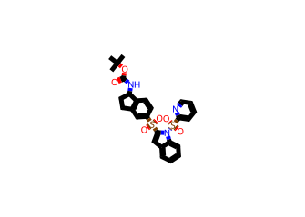 CC(C)(C)OC(=O)NC1CCc2cc(S(=O)(=O)c3cc4ccccc4n3S(=O)(=O)c3ccccn3)ccc21